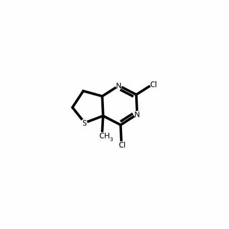 CC12SCCC1N=C(Cl)N=C2Cl